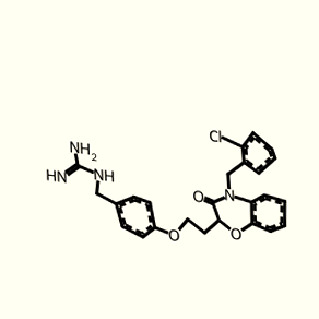 N=C(N)NCc1ccc(OCCC2Oc3ccccc3N(Cc3ccccc3Cl)C2=O)cc1